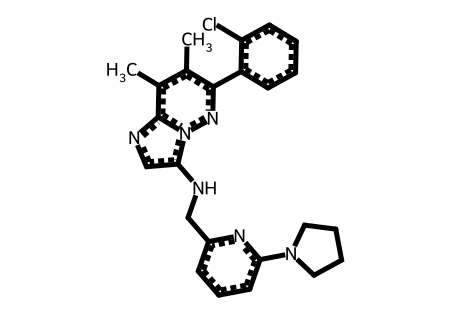 Cc1c(-c2ccccc2Cl)nn2c(NCc3cccc(N4CCCC4)n3)cnc2c1C